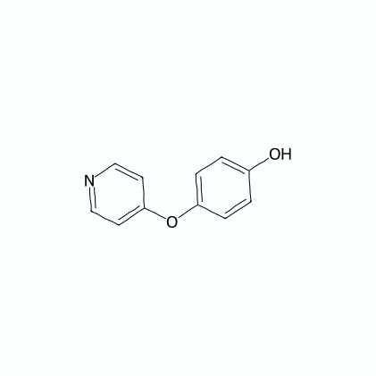 Oc1ccc(Oc2ccncc2)cc1